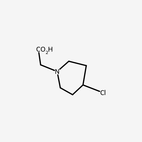 O=C(O)CN1CCC(Cl)CC1